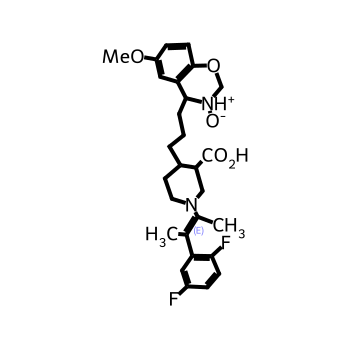 COc1ccc2c(c1)C(CCCC1CCN(/C(C)=C(\C)c3cc(F)ccc3F)CC1C(=O)O)[NH+]([O-])CO2